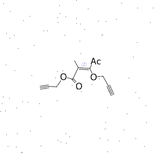 C#CCOC(=O)/C(C)=C(\OCC#C)C(C)=O